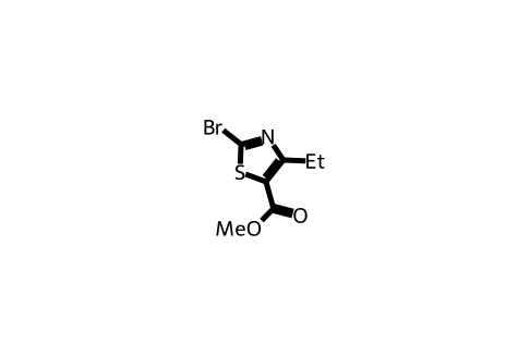 CCc1nc(Br)sc1C(=O)OC